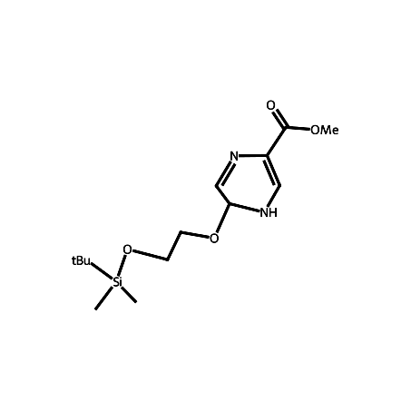 COC(=O)C1=CNC(OCCO[Si](C)(C)C(C)(C)C)C=N1